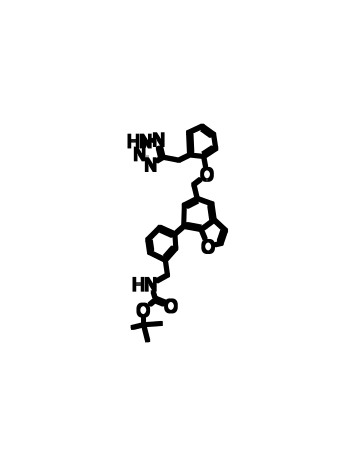 CC(C)(C)OC(=O)NCc1cccc(-c2cc(COc3ccccc3Cc3nn[nH]n3)cc3ccoc23)c1